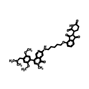 COc1cc(-c2cn(C)c(=O)c3cc(NCCCCCOc4cccc5c4C(=O)N(C4CCC(=O)NC4=O)C5=O)ncc23)c(OC)cc1CN(C)C